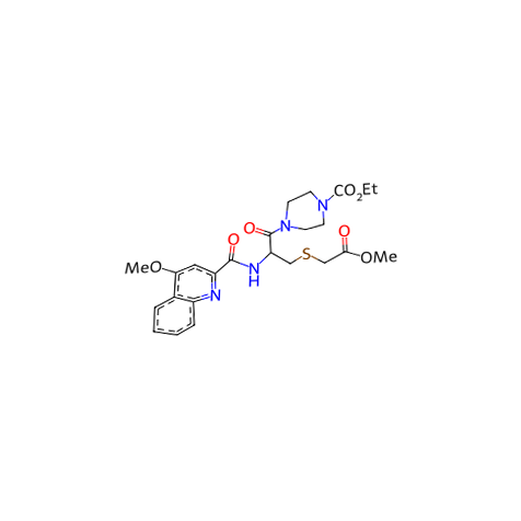 CCOC(=O)N1CCN(C(=O)C(CSCC(=O)OC)NC(=O)c2cc(OC)c3ccccc3n2)CC1